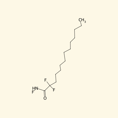 CCCCCCCCCCCCC(F)(F)C(=O)NF